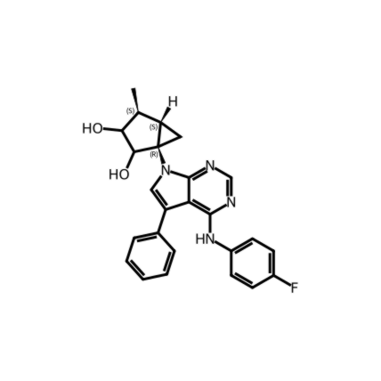 C[C@@H]1C(O)C(O)[C@@]2(n3cc(-c4ccccc4)c4c(Nc5ccc(F)cc5)ncnc43)C[C@@H]12